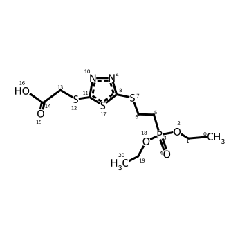 CCOP(=O)(CCSc1nnc(SCC(=O)O)s1)OCC